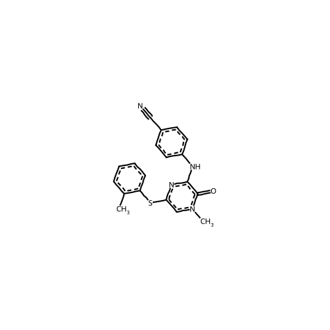 Cc1ccccc1Sc1cn(C)c(=O)c(Nc2ccc(C#N)cc2)n1